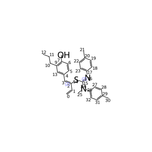 C=C/C(=C/c1ccc(O)c(CCC)c1)S/C(=N\c1ccc(C)cc1)N(C)c1ccc(C)cc1